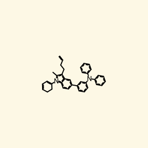 C=CCCc1c(C)n(C2=CC=CCC2)c2ccc(-c3cccc(N(c4ccccc4)c4ccccc4)c3)cc12